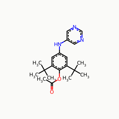 CC(=O)Oc1c(C(C)(C)C)cc(Nc2cncnc2)cc1C(C)(C)C